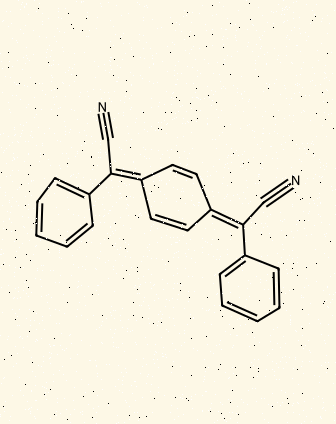 N#CC(c1ccccc1)=c1ccc(=C(C#N)c2ccccc2)cc1